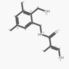 C/C(=C\O)C(=O)NCc1cc(C)cc(C)c1CO